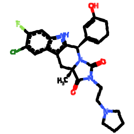 C[C@@]12Cc3c([nH]c4cc(F)c(Cl)cc34)[C@@H](C3=CCCC(O)=C3)N1C(=O)N(CCN1CCCC1)C2=O